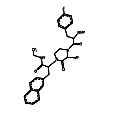 CCCC1C(=O)N(C(Cc2ccc3ccccc3c2)C(=O)NCC(F)(F)F)CCN1C(=O)C(Cc1ccc(F)cc1)NC